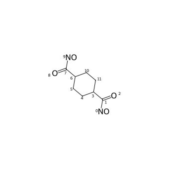 O=NC(=O)C1CCC(C(=O)N=O)CC1